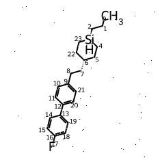 CCC[Si@H]1CC[C@H](CCc2ccc(-c3ccc(F)cc3)cc2)CC1